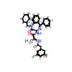 C[C@H](NC(=O)Cc1cc(F)cc(F)c1)C(=O)NC1N=C(c2ccccc2)c2ccccc2N(CC2CCCCC2)C1=O